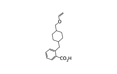 C=COCC1CCC(Cc2ccccc2C(=O)O)CC1